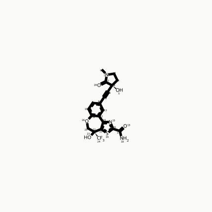 CN1CC[C@@](O)(C#Cc2ccc3c(c2)-c2nc(C(N)=O)sc2[C@](O)(C(F)(F)F)CO3)C1=O